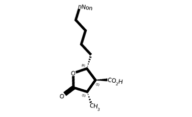 CCCCCCCCCCCCC[C@H]1OC(=O)[C@@H](C)[C@@H]1C(=O)O